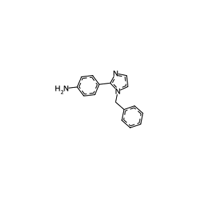 Nc1ccc(-c2nccn2Cc2ccccc2)cc1